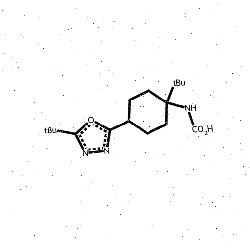 CC(C)(C)c1nnc(C2CCC(NC(=O)O)(C(C)(C)C)CC2)o1